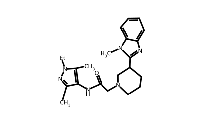 CCn1nc(C)c(NC(=O)CN2CCCC(c3nc4ccccc4n3C)C2)c1C